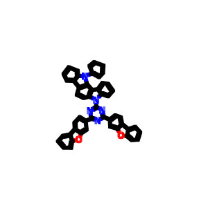 c1ccc(-n2c3ccccc3c3ccc4c(c5ccccc5n4-c4nc(-c5ccc6c(c5)oc5ccccc56)nc(-c5ccc6c(c5)oc5ccccc56)n4)c32)cc1